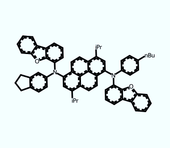 CCCCc1ccc(N(c2cc(C(C)C)c3ccc4c(N(c5ccc6c(c5)CCC6)c5cccc6c5oc5ccccc56)cc(C(C)C)c5ccc2c3c54)c2cccc3c2oc2ccccc23)cc1